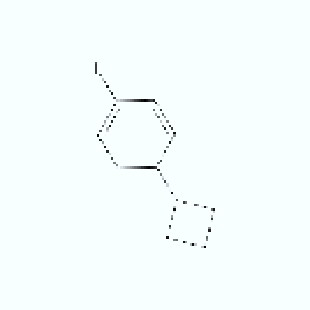 Ic1ccc(C2CCC2)cc1